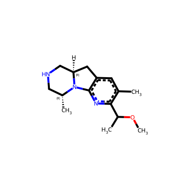 COC(C)c1nc2c(cc1C)C[C@@H]1CNC[C@@H](C)N21